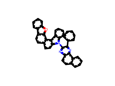 c1ccc(-c2nc3c(ccc4ccccc43)nc2-n2c3ccccc3c3c4c(ccc5c6ccccc6oc54)ccc32)cc1